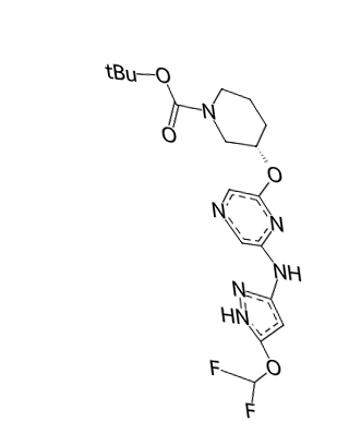 CC(C)(C)OC(=O)N1CCC[C@H](Oc2cncc(Nc3cc(OC(F)F)[nH]n3)n2)C1